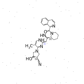 CC1=CN/C(=C\C(=N)[C@@H]2CCCCN2C(=O)c2nccc3ccccc23)N=C1N1C[C@@H](C#N)[C@@H](O)C1